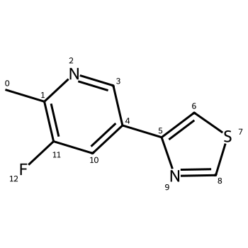 Cc1ncc(-c2cscn2)cc1F